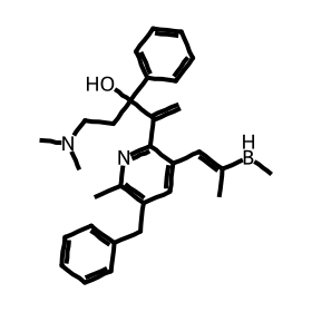 C=C(c1nc(C)c(Cc2ccccc2)cc1/C=C(\C)BC)C(O)(CCN(C)C)c1ccccc1